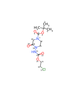 CC(C)(C)OC(=O)N1CCN(NC(=O)OCCCl)C(=O)C1